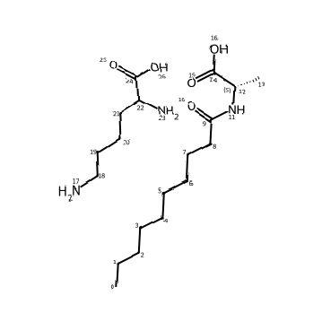 CCCCCCCCCC(=O)N[C@@H](C)C(=O)O.NCCCCC(N)C(=O)O